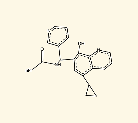 CCCC(=O)NC(c1cccnc1)c1cc(C2CC2)c2cccnc2c1O